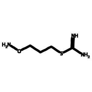 N=C(N)SCCCON